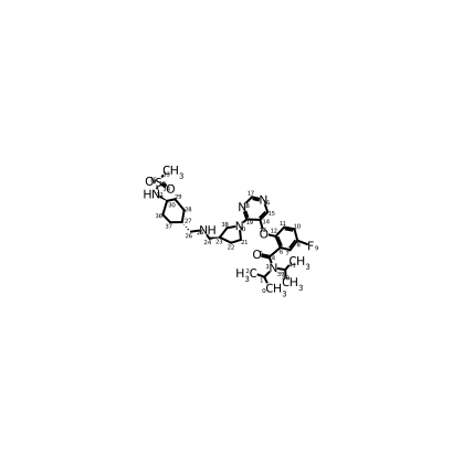 CC(C)N(C(=O)c1cc(F)ccc1Oc1cncnc1N1CC[C@@H](CNC[C@H]2CC[C@H](NS(C)(=O)=O)CC2)C1)C(C)C